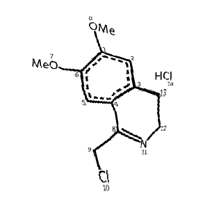 COc1cc2c(cc1OC)C(CCl)=NCC2.Cl